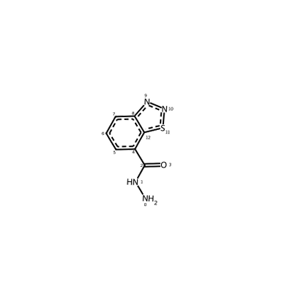 NNC(=O)c1cccc2nnsc12